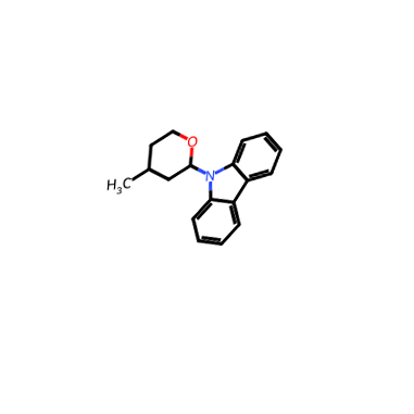 CC1CCOC(n2c3ccccc3c3ccccc32)C1